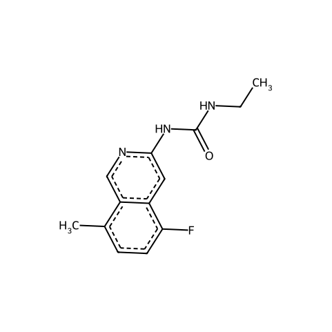 CCNC(=O)Nc1cc2c(F)ccc(C)c2cn1